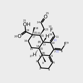 C[C@]12CCCC=C1C(=C/F)/C(=C/F)[C@@H]1[C@@H]2CC[C@](C)(C(=O)O)[C@H]1CC=O